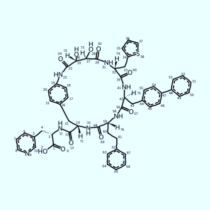 O=C(O)[C@H](Cc1cccnc1)NC(=O)[C@@H]1Cc2ccc(cc2)NC(=O)[C@H](O)[C@@H](O)C(=O)N[C@H](Cc2cccs2)C(=O)N[C@@H](Cc2ccc(-c3ccccc3)cc2)C(=O)N[C@H](CCc2ccccc2)C(=O)N1